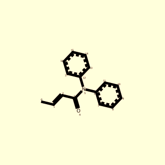 CC=CC(=O)N(c1cc[c]cc1)c1ccccc1